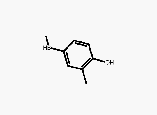 Cc1cc(BF)ccc1O